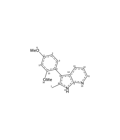 COc1ccc(-c2c(C)[nH]c3ncccc23)c(OC)c1